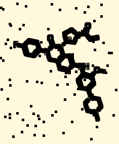 C=CC(=O)N1CC[C@H](N2C(=O)N(c3ccc(F)cc3)Cc3cnc(Nc4ccc(N5CCN(C)CC5)cc4OC)nc32)C1